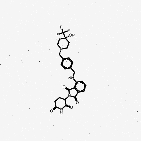 O=C1CCC(N2C(=O)c3cccc(NCc4ccc(CN5CCC(O)(C(F)(F)F)CC5)cc4)c3C2=O)C(=O)N1